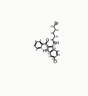 O=C(c1ccccc1)c1[nH]c2cc(Cl)ccc2c1NCCCCCBr